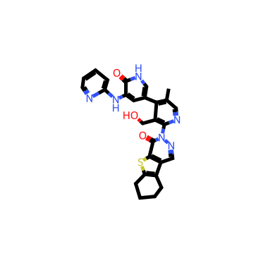 Cc1cnc(-n2ncc3c4c(sc3c2=O)CCCC4)c(CO)c1-c1c[nH]c(=O)c(Nc2ccccn2)c1